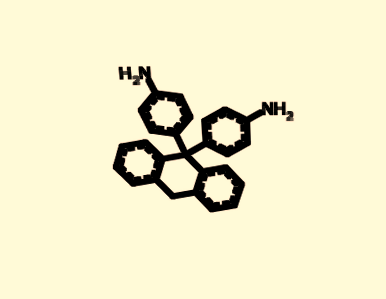 Nc1ccc(C2(c3ccc(N)cc3)c3ccccc3Cc3ccccc32)cc1